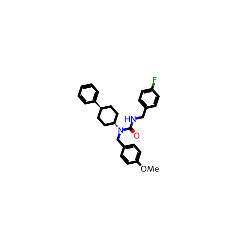 COc1ccc(CN(C(=O)NCc2ccc(F)cc2)[C@H]2CC[C@H](c3ccccc3)CC2)cc1